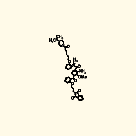 COc1c(C(=O)c2ccccc2OCCCN2C(=O)c3ccccc3C2=O)ccc(C(=O)N(C)c2ccccc2OCCCCCC(=O)N2CCC(N(C)C)CC2)c1N